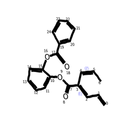 C=C/C=C(\C=C/C)C(=O)Oc1ccccc1OC(=O)c1ccccc1